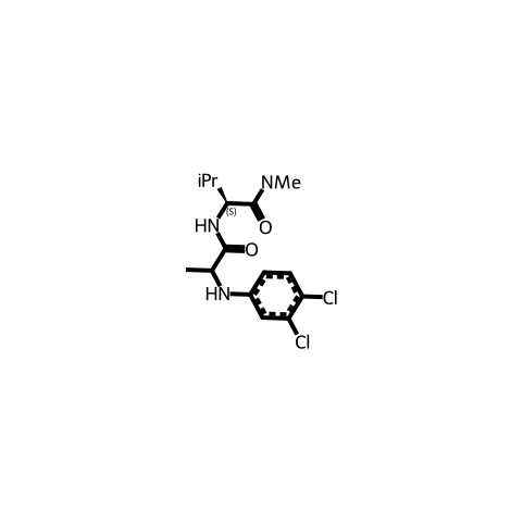 CNC(=O)[C@@H](NC(=O)C(C)Nc1ccc(Cl)c(Cl)c1)C(C)C